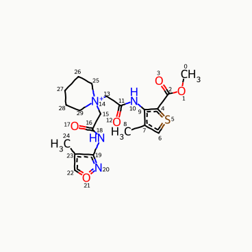 COC(=O)c1scc(C)c1NC(=O)C[N+]1(CC(=O)Nc2nocc2C)CCCCC1